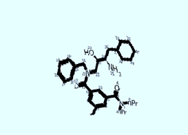 CCCN(CCC)C(=O)c1cc(C)cc(C(=O)N(Cc2ccccc2)C[C@@H](O)[C@@H](N)CC2CCCCC2)c1